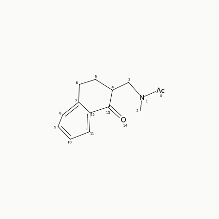 CC(=O)N(C)CC1CCc2ccccc2C1=O